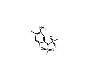 Cc1cc(I)c(N)cc1N(S(C)(=O)=O)S(C)(=O)=O